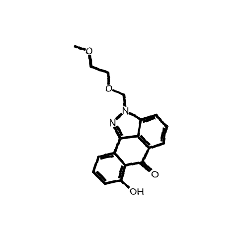 COCCOCn1nc2c3c(cccc31)C(=O)c1c(O)cccc1-2